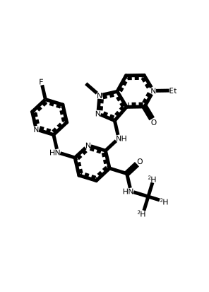 [2H]C([2H])([2H])NC(=O)c1ccc(Nc2ccc(F)cn2)nc1Nc1nn(C)c2ccn(CC)c(=O)c12